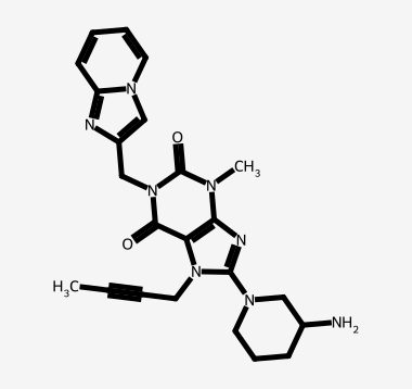 CC#CCn1c(N2CCCC(N)C2)nc2c1c(=O)n(Cc1cn3ccccc3n1)c(=O)n2C